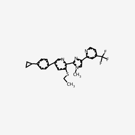 CCSc1cc(-c2ccc(C3CC3)cc2)cnc1-c1nc(-c2cc(C(F)(F)F)ccn2)cn1C